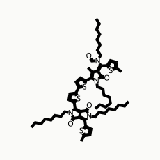 CCCCCCCCN1C(=O)C2=C(c3ccc(-c4ccc(C5=C(C)/C(=C(/c6ccc(C)s6)N(C=O)CCCCCCCC)C(=O)N5CCCCCCCC)s4)s3)N(CCCCCCCC)C(=O)C2=C1c1ccc(C)s1